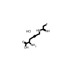 Cl.N=C(CF)NCC#CCC(N)C(=O)O